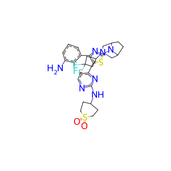 Nc1cccc(-c2nc(N3C4CCC3CN(C3CC(F)(F)C3)C4)sc2-c2ccnc(NC3CCS(=O)(=O)CC3)n2)c1F